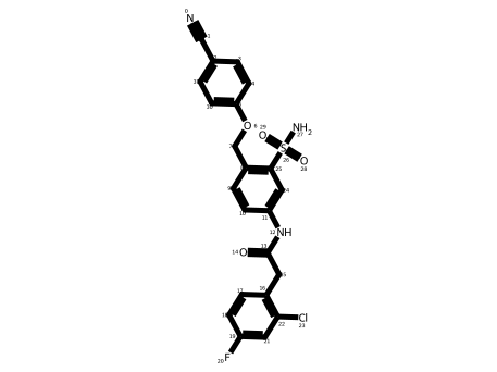 N#Cc1ccc(OCc2ccc(NC(=O)Cc3ccc(F)cc3Cl)cc2S(N)(=O)=O)cc1